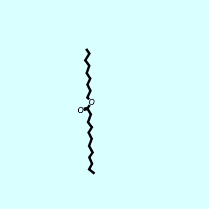 CCCCCCCCCCCC(=O)OCCCCCCCCC